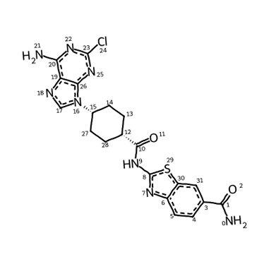 NC(=O)c1ccc2nc(NC(=O)[C@H]3CC[C@@H](n4cnc5c(N)nc(Cl)nc54)CC3)sc2c1